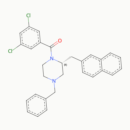 O=C(c1cc(Cl)cc(Cl)c1)N1CCN(Cc2ccccc2)C[C@H]1Cc1ccc2ccccc2c1